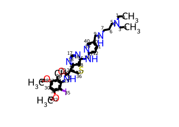 CCN(CC)CCCNCc1ccc(Nc2ncnc3c(C(=O)Nc4c(C)c(OC)cc(OC)c4I)csc23)nc1